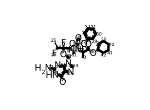 CC(NP(=O)(OC[C@@](F)(O[C@H](CO)n1cnc2c(=O)[nH]c(N)nc21)[C@H](C)F)Oc1ccccc1)C(=O)OC1CCCCC1